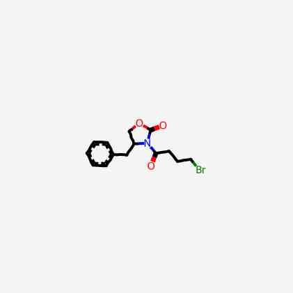 O=C(CCCBr)N1C(=O)OCC1Cc1ccccc1